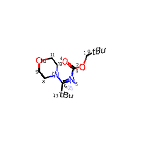 CC(C)(C)COC(=O)/N=C(\N1CCOCC1)C(C)(C)C